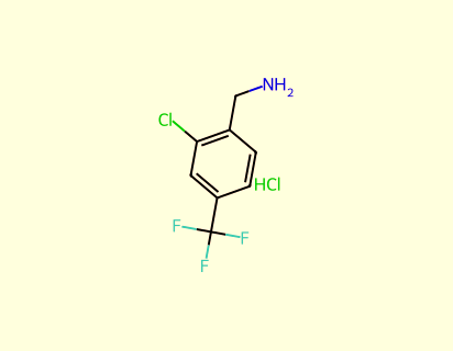 Cl.NCc1ccc(C(F)(F)F)cc1Cl